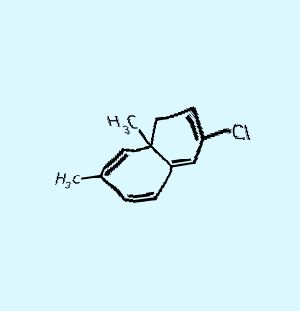 CC1=CC2(C)CC=C(Cl)C=C2C=C1